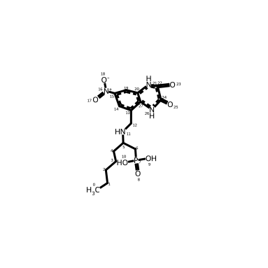 CCCCCC(CP(=O)(O)O)NCc1cc([N+](=O)[O-])cc2[nH]c(=O)c(=O)[nH]c12